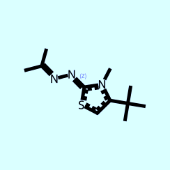 CC(C)=N/N=c1\scc(C(C)(C)C)n1C